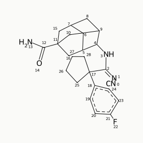 N#C/N=C(/NC1C2CC3CC1CC(C(N)=O)(C3)C2)C1(c2ccc(F)cc2)CCCC1